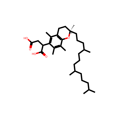 Cc1c(C)c(C(CC(=O)O)C(=O)O)c(C)c2c1O[C@](C)(CCCC(C)CCCC(C)CCCC(C)C)CC2